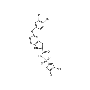 O=C(NS(=O)(=O)c1cc(Cl)c(Cl)s1)c1cc2cc(Oc3ccc(Br)c(Cl)c3)ccc2[nH]1